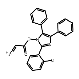 C=CC(=O)On1c(-c2ccccc2Cl)nc(-c2ccccc2)c1-c1ccccc1